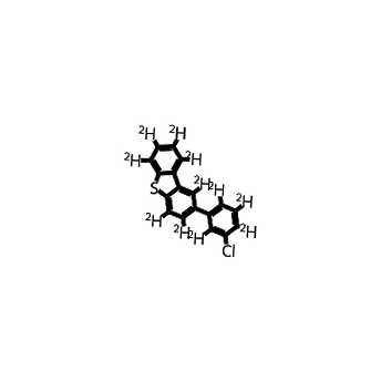 [2H]c1c([2H])c(Cl)c([2H])c(-c2c([2H])c([2H])c3sc4c([2H])c([2H])c([2H])c([2H])c4c3c2[2H])c1[2H]